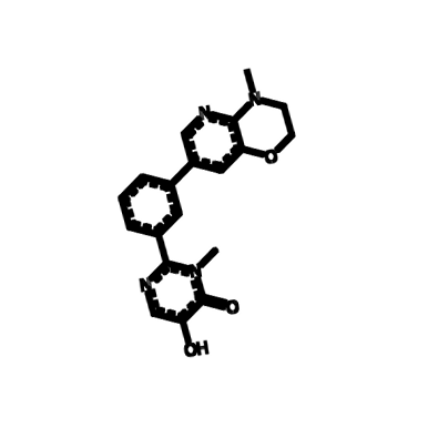 CN1CCOc2cc(-c3cccc(-c4ncc(O)c(=O)n4C)c3)cnc21